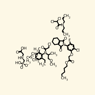 C=CCN(CC=C)C(=O)C(Cl)Cl.CCCCCOC(=O)COc1cc(N2C(=O)C3=C(CCCC3)C2=O)c(F)cc1Cl.CCc1cccc(C)c1N(C(=O)CCl)C(C)COC.C[S+](C)C.O=C(O)CNCP(=O)([O-])O